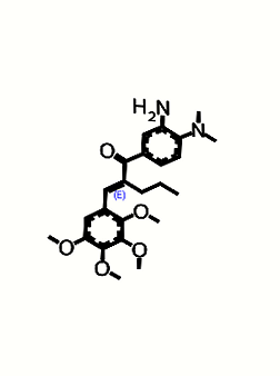 CCC/C(=C\c1cc(OC)c(OC)c(OC)c1OC)C(=O)c1ccc(N(C)C)c(N)c1